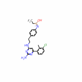 Cc1c(Cl)cccc1-c1cc(NCCc2ccc(/N=S(/O)CC(F)(F)F)cc2)nc(N)n1